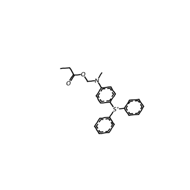 CCC(=O)OCN(C)c1ccc([S+](c2ccccc2)c2ccccc2)cc1